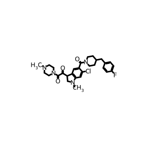 CN1CCN(C(=O)C(=O)C2CN(C)c3cc(Cl)c(C(=O)N4CCC(Cc5ccc(F)cc5)CC4)cc32)CC1